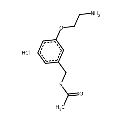 CC(=O)SCc1cccc(OCCN)c1.Cl